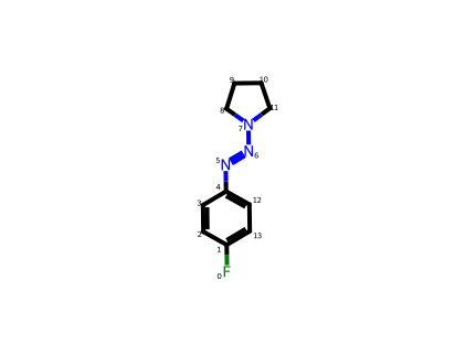 Fc1ccc(N=NN2CCCC2)cc1